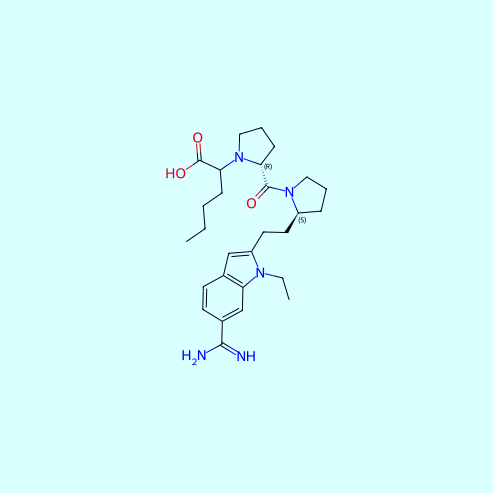 CCCCC(C(=O)O)N1CCC[C@@H]1C(=O)N1CCC[C@H]1CCc1cc2ccc(C(=N)N)cc2n1CC